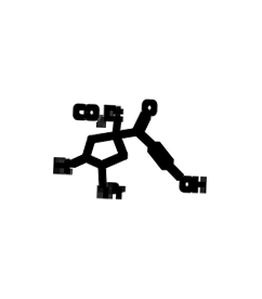 CCCC1CC(C(=O)C#CO)(C(=O)OCC)CC1CC